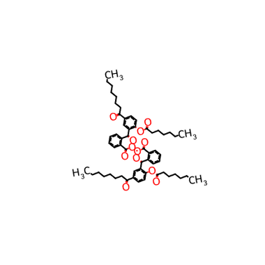 CCCCCCCC(=O)c1ccc(OC(=O)CCCCCC)c(C(=O)c2ccccc2C(=O)OOC(=O)c2ccccc2C(=O)c2cc(C(=O)CCCCCCC)ccc2OC(=O)CCCCCC)c1